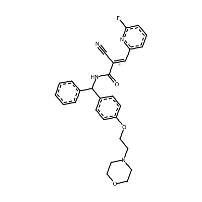 N#C/C(=C\c1cccc(F)n1)C(=O)NC(c1ccccc1)c1ccc(OCCN2CCOCC2)cc1